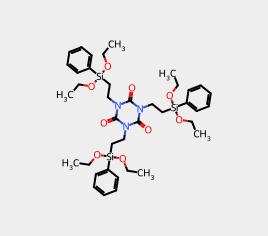 CCO[Si](CCn1c(=O)n(CC[Si](OCC)(OCC)c2ccccc2)c(=O)n(CC[Si](OCC)(OCC)c2ccccc2)c1=O)(OCC)c1ccccc1